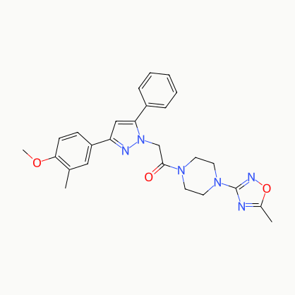 COc1ccc(-c2cc(-c3ccccc3)n(CC(=O)N3CCN(c4noc(C)n4)CC3)n2)cc1C